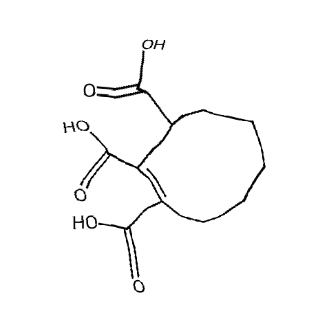 O=C(O)C1=C(C(=O)O)C(C(=O)O)CCCCC1